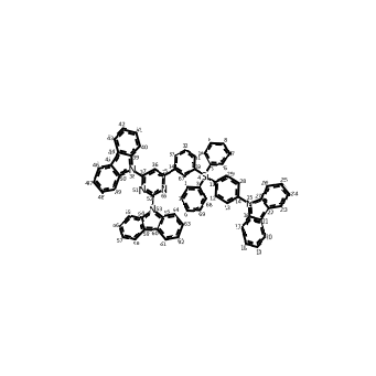 c1ccc([Si](c2ccccc2)(c2ccc(-n3c4ccccc4c4ccccc43)cc2)c2cccc(-c3cc(-n4c5ccccc5c5ccccc54)nc(-n4c5ccccc5c5ccccc54)n3)c2)cc1